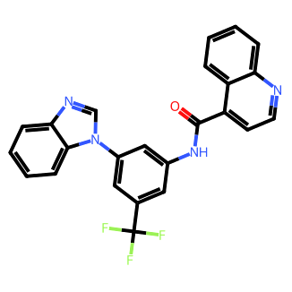 O=C(Nc1cc(-n2cnc3ccccc32)cc(C(F)(F)F)c1)c1ccnc2ccccc12